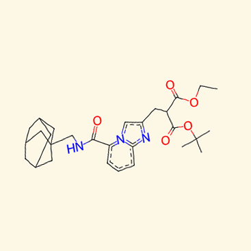 CCOC(=O)C(Cc1cn2c(C(=O)NCC34CC5CC(CC(C5)C3)C4)cccc2n1)C(=O)OC(C)(C)C